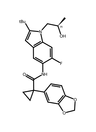 C[C@@H](O)Cn1c(C(C)(C)C)cc2cc(NC(=O)C3(c4ccc5c(c4)OCO5)CC3)c(F)cc21